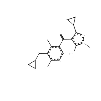 Cc1c(C(=O)c2c(C3CC3)nn(C)c2O)ccc(Cl)c1CC1CC1